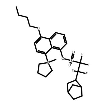 CCCCOc1ccc(S2(C)CCCC2)c2c(OS(=O)(=O)C(F)(F)C(F)(F)C3CC4CCC3C4)cccc12